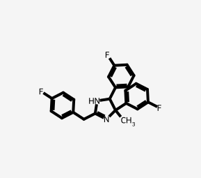 CC1(c2cccc(F)c2)N=C(Cc2ccc(F)cc2)NC1c1cccc(F)c1